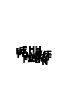 O=C(N[C@@H](c1cc(F)c(C(F)(F)F)cc1F)C1CC1)[C@H]1C[C@H]2C[C@H]2N1C(=O)c1cncc(C(F)(F)F)c1